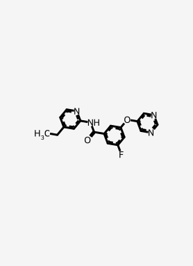 CCc1ccnc(NC(=O)c2cc(F)cc(Oc3cncnc3)c2)c1